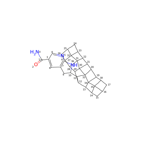 NC(=O)c1cnc2c(c1)CC(C1C3C4C5CC6CC7C8C9C%10C%11C%12CC%13CC%14C%15C3C%10(C%15%11C%13%14%12)C19C48C657)N2